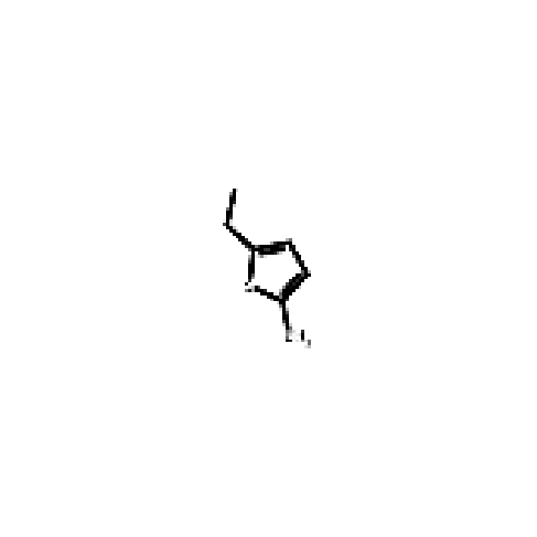 Bc1ccc(CC)s1